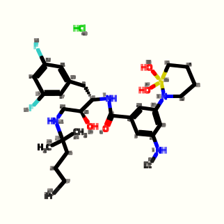 CCNc1cc(C(=O)N[C@@H](Cc2cc(F)cc(F)c2)[C@@H](O)CNC(C)(C)CCCC(C)C)cc(N2CCCCS2(O)O)c1.Cl